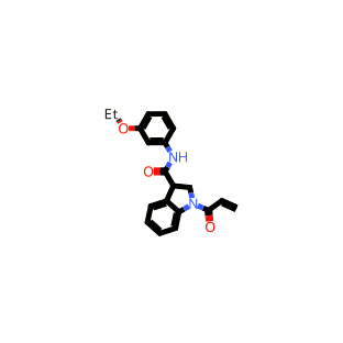 C=CC(=O)N1CC(C(=O)Nc2cccc(OCC)c2)c2ccccc21